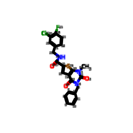 Cn1c(=O)n(Cc2ccccc2)c(=O)c2cc(C(=O)NCc3ccc(F)c(Cl)c3)sc21